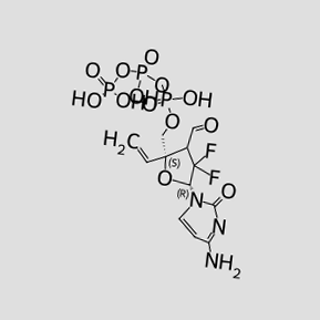 C=C[C@]1(COP(=O)(O)OP(=O)(O)OP(=O)(O)O)O[C@@H](n2ccc(N)nc2=O)C(F)(F)C1C=O